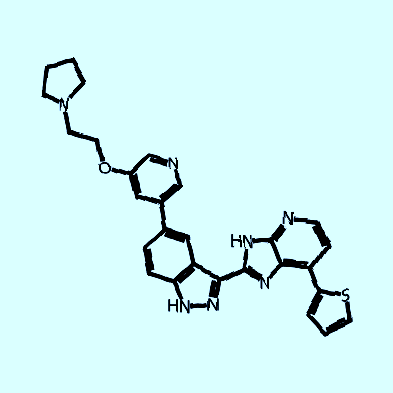 c1csc(-c2ccnc3[nH]c(-c4n[nH]c5ccc(-c6cncc(OCCN7CCCC7)c6)cc45)nc23)c1